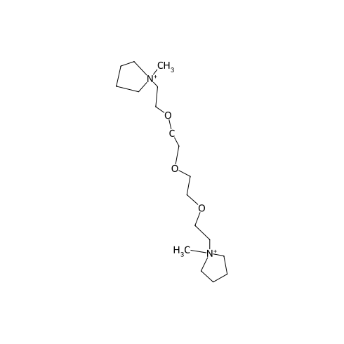 C[N+]1(CCOCCOCCOCC[N+]2(C)CCCC2)CCCC1